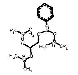 C[SiH](C)OC(CO[SiH](O[SiH](C)C)c1ccccc1)O[SiH](C)C